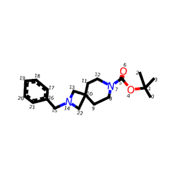 CC(C)(C)OC(=O)N1CCC2(CC1)CN(Cc1ccccc1)C2